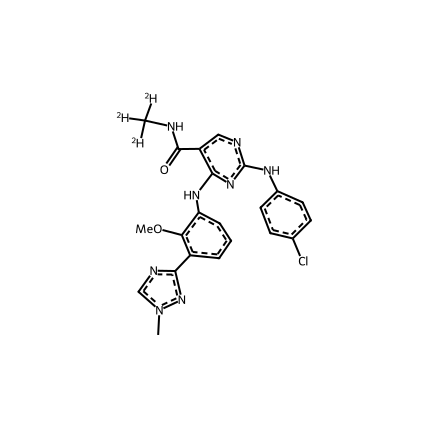 [2H]C([2H])([2H])NC(=O)c1cnc(Nc2ccc(Cl)cc2)nc1Nc1cccc(-c2ncn(C)n2)c1OC